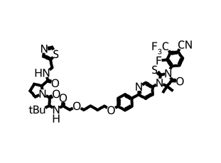 CC(C)(C)C(NC(=O)COCCCCOc1ccc(-c2ccc(N3C(=S)N(c4ccc(C#N)c(C(F)(F)F)c4F)C(=O)C3(C)C)cn2)cc1)C(=O)N1CCCC1C(=O)NCc1cncs1